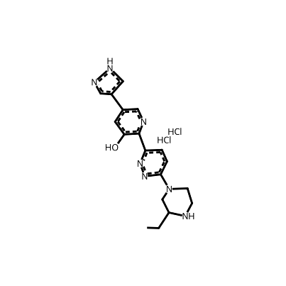 CCC1CN(c2ccc(-c3ncc(-c4cn[nH]c4)cc3O)nn2)CCN1.Cl.Cl